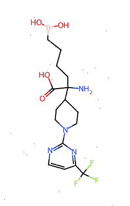 NC(CCCCB(O)O)(C(=O)O)C1CCN(c2nccc(C(F)(F)F)n2)CC1